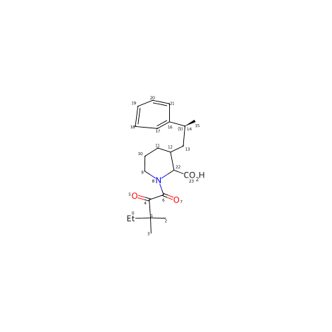 CCC(C)(C)C(=O)C(=O)N1CCCC(C[C@H](C)c2ccccc2)C1C(=O)O